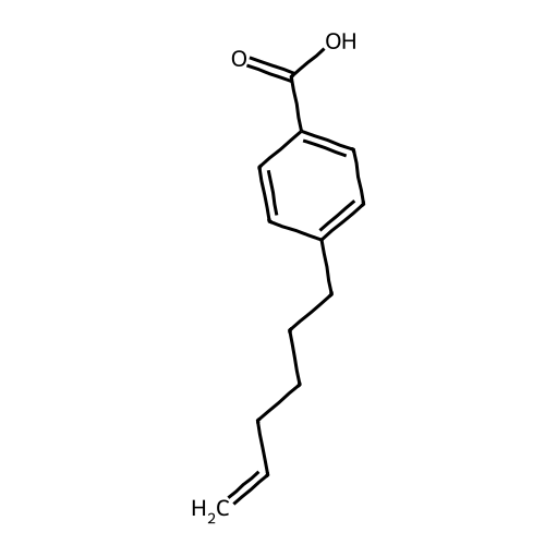 C=CCCCCc1ccc(C(=O)O)cc1